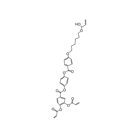 C=CC(=O)Oc1ccc(C(=O)Oc2ccc(OC(=O)c3ccc(OCCCCCCOC(O)C=C)cc3)cc2)cc1OC(=O)C=C